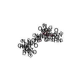 O=C(O)CNC(=O)[C@@H]1CCCN1C(=O)[C@@H]1CCCN1C(=O)CNC(=O)[C@@H]1CCCN1C(=O)[C@@H]1CCCN1C(=O)CNC(=O)[C@@H]1CCCN1C(=O)[C@@H]1CCCN1C(=O)CNC(=O)[C@@H]1CCCN1C(=O)[C@H](CS)NC(=O)CNC(=O)[C@@H]1CCCN1C(=O)[C@@H]1CCCN1C(=O)CNC(=O)[C@@H]1CCCN1C(=O)[C@@H]1CCCN1C(=O)CNC(=O)[C@@H]1CCCN1C(=O)[C@@H]1CCCN1